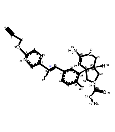 C#CCOc1cnc(/C(F)=C/c2ccc(F)c([C@]34CN(C(=O)OC(C)(C)C)C[C@H]3CSC(N)=N4)c2)cn1